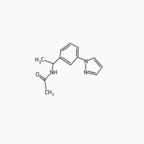 CC(=O)NC(C)c1cccc(-n2cccn2)c1